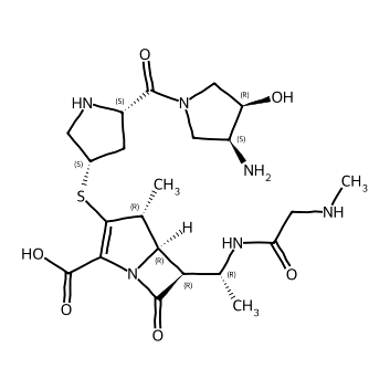 CNCC(=O)N[C@H](C)[C@H]1C(=O)N2C(C(=O)O)=C(S[C@@H]3CN[C@H](C(=O)N4C[C@@H](O)[C@@H](N)C4)C3)[C@H](C)[C@@H]12